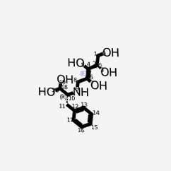 OC[C@@H](O)/C(O)=C(\O)CN[C@H](Cc1ccccc1)C(O)O